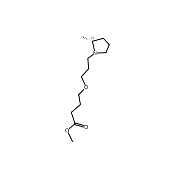 COC(=O)CCCOCCCN1CCC[C@H]1C